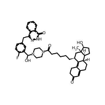 C[C@]12C[C@H](CCCCCC(=O)N3CCN(C(O)c4cc(Cc5n[nH]c(=O)c6ccccc56)ccc4F)CC3)C3=C4CCC(=O)C=C4CC[C@H]3[C@@H]1CC[C@@H]2O